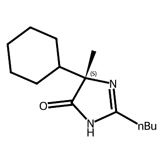 CCCCC1=N[C@@](C)(C2CCCCC2)C(=O)N1